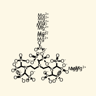 O=P([O-])([O-])C(N(CCN(C(P(=O)([O-])[O-])P(=O)([O-])[O-])C(P(=O)([O-])[O-])P(=O)([O-])[O-])CCN(C(P(=O)([O-])[O-])P(=O)([O-])[O-])C(P(=O)([O-])[O-])P(=O)([O-])[O-])P(=O)([O-])[O-].O=[Si]([O-])[O-].[Mg+2].[Mg+2].[Mg+2].[Mg+2].[Mg+2].[Mg+2].[Mg+2].[Mg+2].[Mg+2].[Mg+2].[Mg+2]